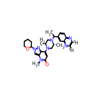 [2H]c1nc2ccc(C(C)N3C[C@H](C)N(c4cc(=O)n(C)c5cn(C6CCCCO6)nc45)C[C@H]3C)cc2nc1[2H]